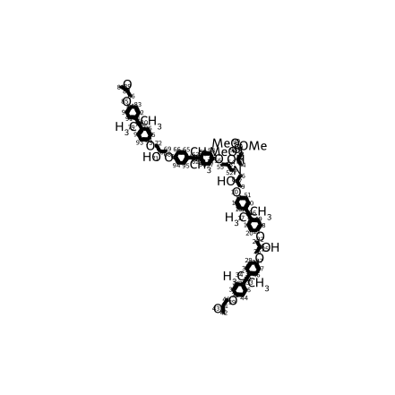 CO[Si](CCCN(CC(O)COc1ccc(C(C)(C)c2ccc(OCC(O)COc3ccc(C(C)(C)c4ccc(OCC5CO5)cc4)cc3)cc2)cc1)CC(O)COc1ccc(C(C)(C)c2ccc(OCC(O)COc3ccc(C(C)(C)c4ccc(OCC5CO5)cc4)cc3)cc2)cc1)(OC)OC